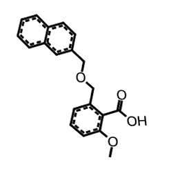 COc1cccc(COCc2ccc3ccccc3c2)c1C(=O)O